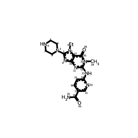 CCn1c(N2CCNCC2)nc2nc(Nc3ccc(C(N)=O)cn3)n(C)c(=O)c21